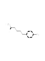 [NH]C(=O)CCCCc1ccc(Br)cc1